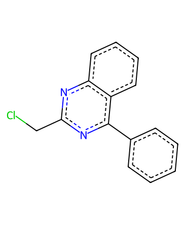 ClCc1nc(-c2ccccc2)c2ccccc2n1